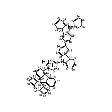 C=C(/C=C\C(=C/C)n1c2ccccc2c2cc(-c3ccc4c(c3)c3ccccc3n4-c3ccccc3)ccc21)c1cccc2c1-c1ccccc1C21c2ccccc2Oc2ccccc21